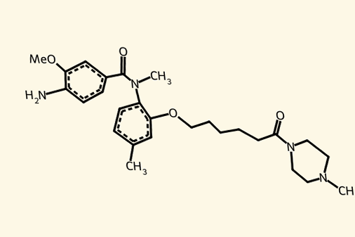 COc1cc(C(=O)N(C)c2ccc(C)cc2OCCCCCC(=O)N2CCN(C)CC2)ccc1N